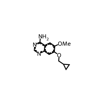 COc1cc2c(N)ncnc2cc1OCC1CC1